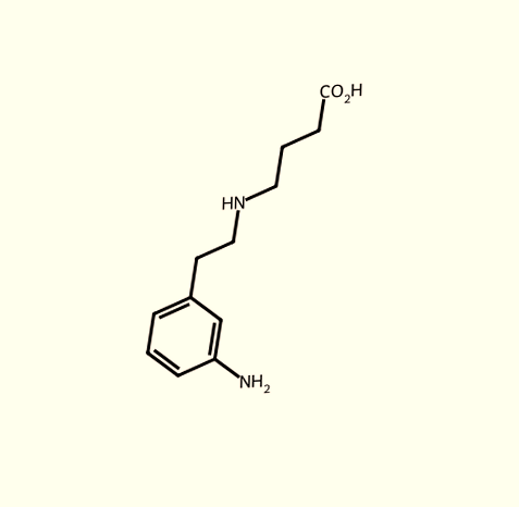 Nc1cccc(CCNCCCC(=O)O)c1